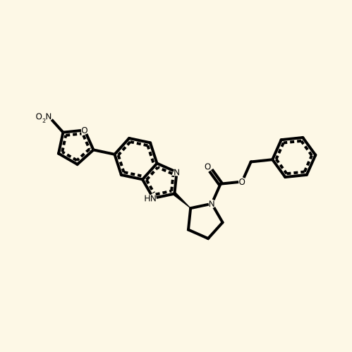 O=C(OCc1ccccc1)N1CCC[C@H]1c1nc2ccc(-c3ccc([N+](=O)[O-])o3)cc2[nH]1